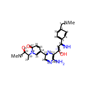 CNCc1ccc(C(=N)/C=C(\O)c2nc(-c3ccc(=O)n(C(C)C(=O)NC)c3)cnc2N)cc1